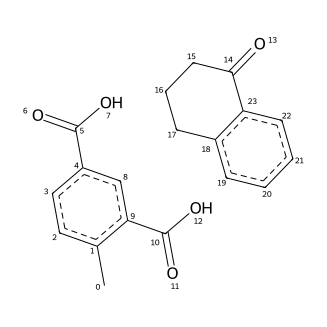 Cc1ccc(C(=O)O)cc1C(=O)O.O=C1CCCc2ccccc21